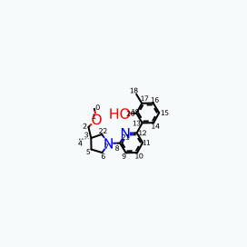 COC[C@]1(C)CCN(c2cccc(-c3cccc(C)c3O)n2)C1